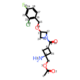 CC(=O)OC[C@]1(N)C[C@@H](C(=O)N2CC(OCc3ccc(F)cc3Cl)C2)C1